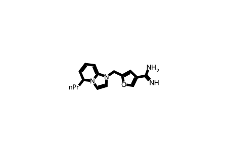 CCCC1C=CC=C2N(Cc3cc(C(=N)N)co3)C=CN21